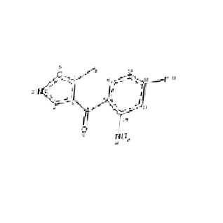 Cc1oncc1C(=O)c1ccc(F)cc1[N+](=O)[O-]